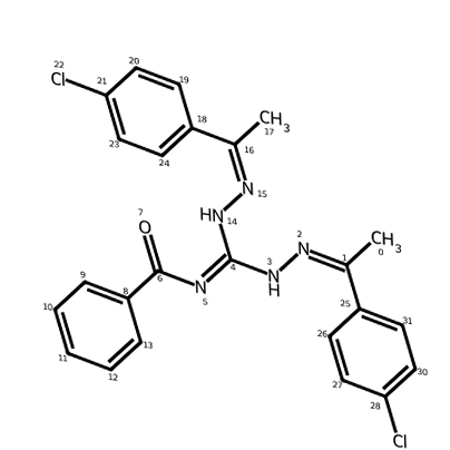 CC(=NNC(=NC(=O)c1ccccc1)NN=C(C)c1ccc(Cl)cc1)c1ccc(Cl)cc1